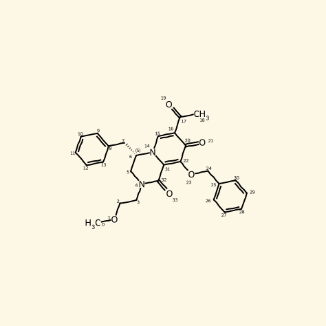 COCCN1C[C@H](Cc2ccccc2)n2cc(C(C)=O)c(=O)c(OCc3ccccc3)c2C1=O